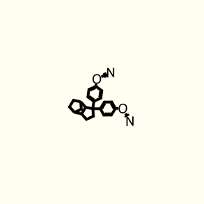 N#COc1ccc(C2(c3ccc(OC#N)cc3)CCC3C4CCC(C4)C32)cc1